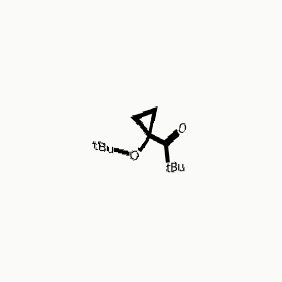 CC(C)(C)OC1(C(=O)C(C)(C)C)CC1